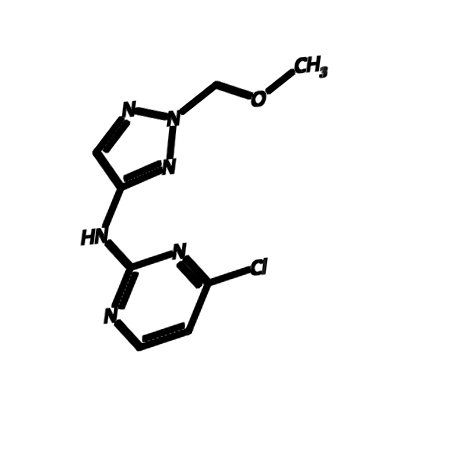 COCn1ncc(Nc2nccc(Cl)n2)n1